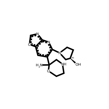 NC1(c2cc3ocnc3nc2N2CC[C@@H](O)C2)CNCCO1